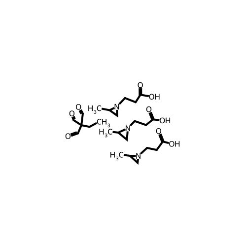 CC1CN1CCC(=O)O.CC1CN1CCC(=O)O.CC1CN1CCC(=O)O.CCC(C=O)(C=O)C=O